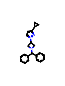 c1ccc(C(c2ccccc2)N2CC(n3ccc(C4CC4)n3)C2)cc1